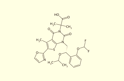 Cc1c(-c2ncco2)sc2c1c(=O)n(C(C)(C)C(=O)O)c(=O)n2C[C@@H](OC(C)C)c1ccccc1OC(F)F